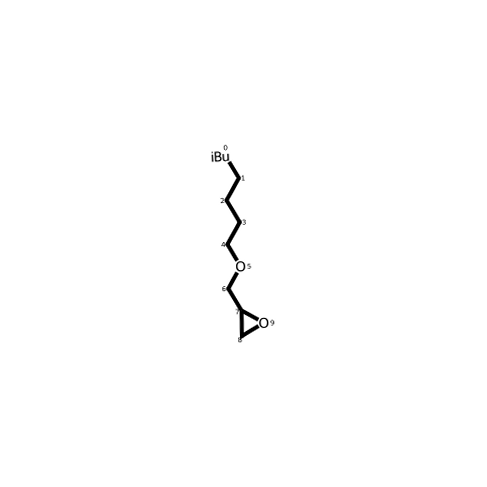 CCC(C)CCCCOCC1CO1